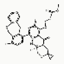 COC(=O)OCOc1c2n(c(-c3ccc(F)c4c3Cc3ccccc3SC4)cc1=O)N[C@@H]1COC3(CC3)CN1C2=O